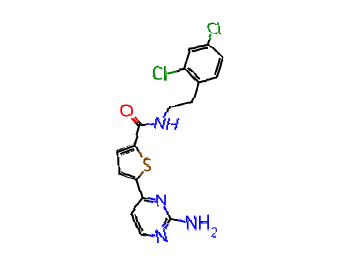 Nc1nccc(-c2ccc(C(=O)NCCc3ccc(Cl)cc3Cl)s2)n1